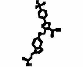 O=C(O)CCn1ccc2cc(OCc3nc(-c4ccc(C(F)(F)F)cc4)sc3C(=O)O)ccc21